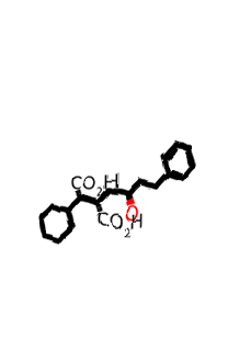 O=C(CCc1ccccc1)C/C(C(=O)O)=C(\C(=O)O)C1CCCCC1